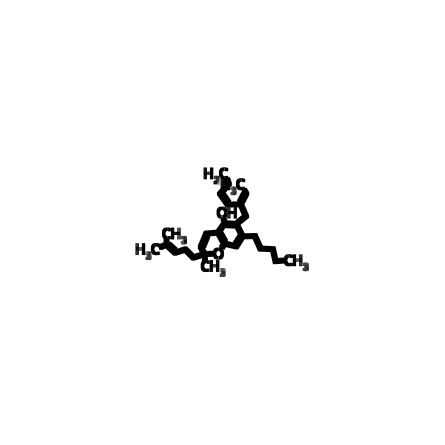 C=C/C=C\C(=C/C)Cc1c(CCCCC)cc2c(c1O)C=CC(C)(CCC=C(C)C)O2